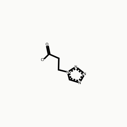 O=C(Cl)CCn1cnnn1